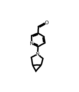 O=Cc1ccc(N2CC3CC3C2)nc1